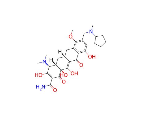 COc1c(CN(C)C2CCCC2)cc(O)c2c1C[C@H]1C[C@H]3[C@H](N(C)C)C(O)=C(C(N)=O)C(=O)[C@@]3(O)C(O)=C1C2=O